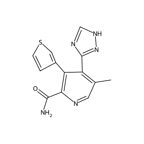 Cc1cnc(C(N)=O)c(-c2ccsc2)c1-c1nc[nH]n1